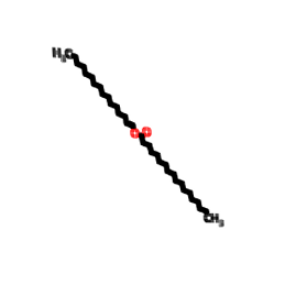 CCCCCCCCCCCCCCC=COC(=O)CCCCCCCCCCCCCCCCC